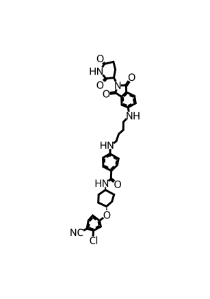 N#Cc1ccc(O[C@H]2CC[C@H](NC(=O)c3ccc(NCCCCNc4ccc5c(c4)C(=O)N(C4CCC(=O)NC4=O)C5=O)cc3)CC2)cc1Cl